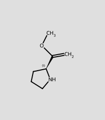 C=C(OC)[C@@H]1CCCN1